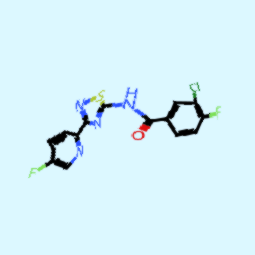 O=C(Nc1nc(-c2ccc(F)cn2)ns1)c1ccc(F)c(Cl)c1